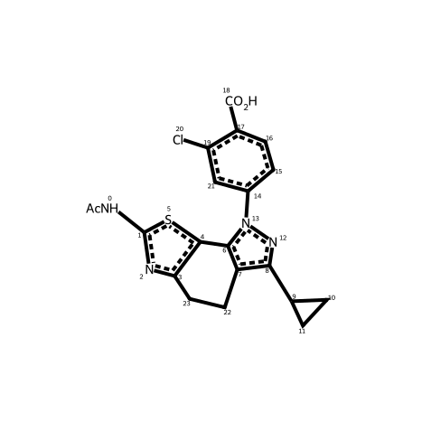 CC(=O)Nc1nc2c(s1)-c1c(c(C3CC3)nn1-c1ccc(C(=O)O)c(Cl)c1)CC2